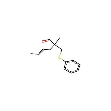 CC=CCC(C)(C=O)CSc1ccccc1